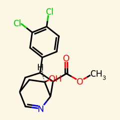 COC(=O)C1C(c2ccc(Cl)c(Cl)c2)CC2C=NC1[C@H](O)C2